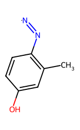 Cc1cc(O)ccc1N=[N]